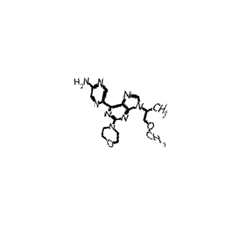 COCC(C)n1cnc2c(-c3cnc(N)cn3)nc(N3CCOCC3)nc21